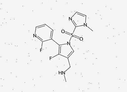 CNCc1cn(S(=O)(=O)c2nccn2C)c(-c2cccnc2F)c1F